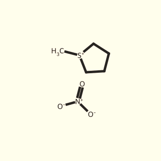 C[S+]1CCCC1.O=[N+]([O-])[O-]